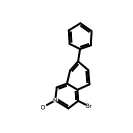 [O-][n+]1cc(Br)c2ccc(-c3ccccc3)cc2c1